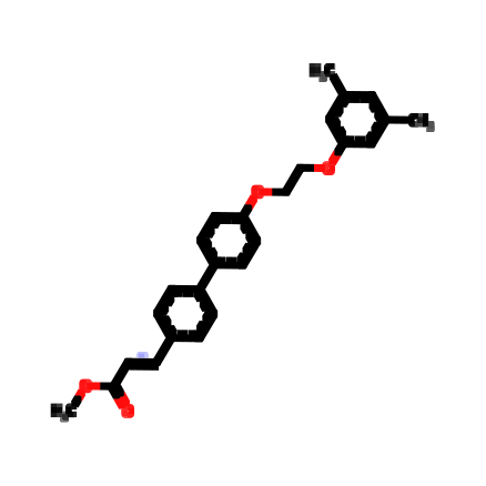 COC(=O)/C=C/c1ccc(-c2ccc(OCCOc3cc(C)cc(C)c3)cc2)cc1